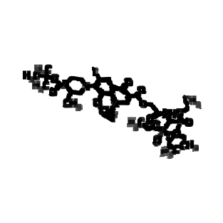 CCOP(=O)(OCC)C(NC(=O)COC(=O)c1cn(C2CC2)c2c(OC)c(N3CCN(C(=O)OC(C)(C)C)C(C)C3)c(F)cc2c1=O)P(=O)(OCC)OCC